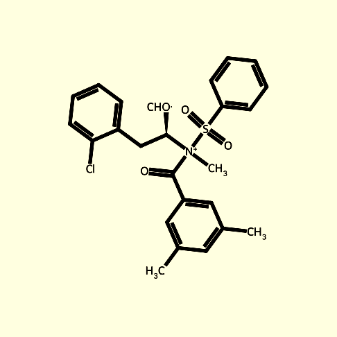 Cc1cc(C)cc(C(=O)[N+](C)([C@H]([C]=O)Cc2ccccc2Cl)S(=O)(=O)c2ccccc2)c1